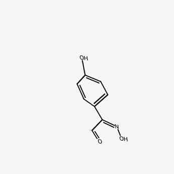 O=[C]/C(=N\O)c1ccc(O)cc1